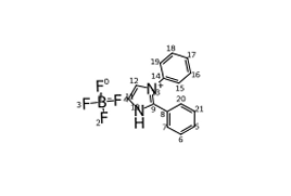 F[B-](F)(F)F.c1ccc(-c2[nH]cc[n+]2-c2ccccc2)cc1